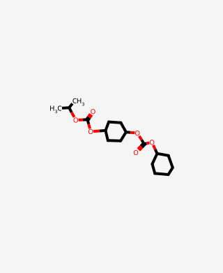 CC(C)OC(=O)OC1CCC(OC(=O)OC2CCCCC2)CC1